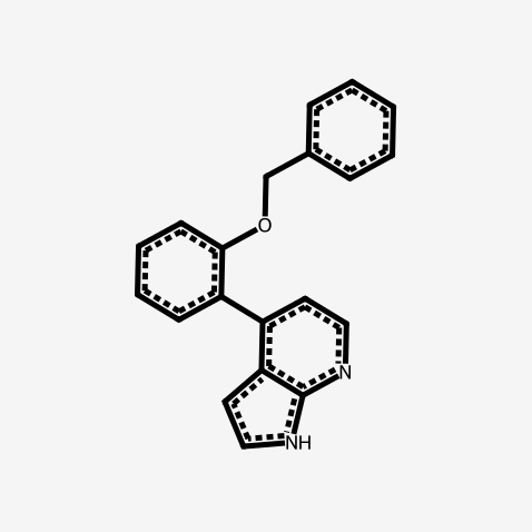 c1ccc(COc2ccccc2-c2ccnc3[nH]ccc23)cc1